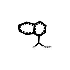 CCCCCCCC([O])c1cccc2ccccc12